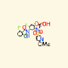 COc1ccc(S(=O)(=O)N2C[C@H](CO)Oc3cc(F)c(NC(=O)c4c(F)cccc4Cl)cc32)cn1